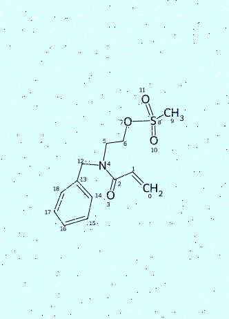 C=CC(=O)N(CCOS(C)(=O)=O)Cc1ccccc1